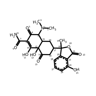 CN(C)C1C(=O)C(C(N)=O)=C(O)C2(O)C(=O)CC(C3(C)OC(=O)c4c(O)cccc43)CC12